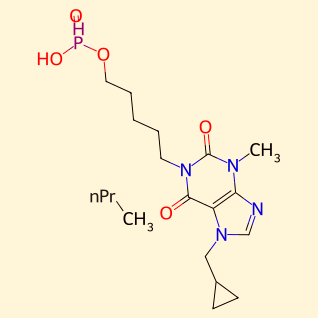 CCCC.Cn1c(=O)n(CCCCCO[PH](=O)O)c(=O)c2c1ncn2CC1CC1